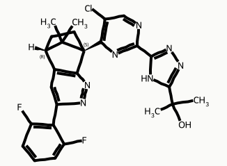 CC(C)(O)c1nnc(-c2ncc(Cl)c([C@@]34CC[C@@H](c5cc(-c6c(F)cccc6F)nnc53)C4(C)C)n2)[nH]1